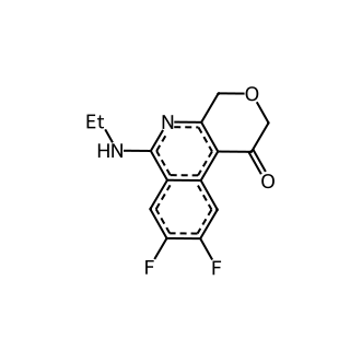 [CH2]CNc1nc2c(c3cc(F)c(F)cc13)C(=O)COC2